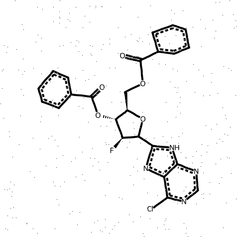 O=C(OC[C@H]1OC(c2nc3c(Cl)ncnc3[nH]2)[C@@H](F)[C@@H]1OC(=O)c1ccccc1)c1ccccc1